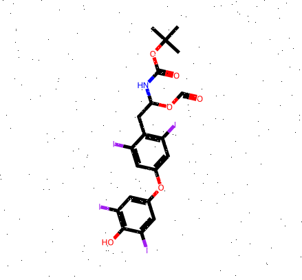 CC(C)(C)OC(=O)NC(Cc1c(I)cc(Oc2cc(I)c(O)c(I)c2)cc1I)OC=O